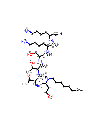 CC(O)C(N)C(=O)O.CC(O)C(N)C(=O)O.CCCCCCCCCCCCCCCCN(CCC)C(CCO)C(=O)O.NC(CO)C(=O)O.NCCCCC(N)C(=O)O.NCCCCC(N)C(=O)O